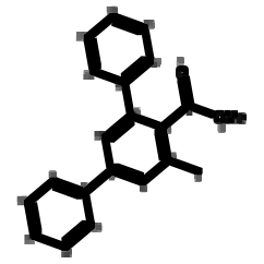 COC(=O)c1c(C)cc(-c2ccccc2)cc1-c1ccccc1